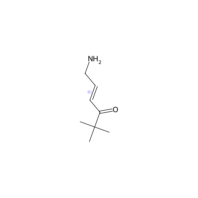 CC(C)(C)C(=O)/C=C/CN